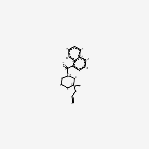 C=CC[C@]1(C)CCCN(C(=O)c2cccc3ccccc23)C1